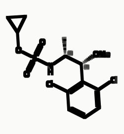 CO[C@H](c1c(Cl)cccc1Cl)[C@@H](C)NS(=O)(=O)OC1CC1